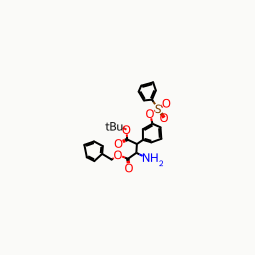 CC(C)(C)OC(=O)C(c1cccc(OS(=O)(=O)c2ccccc2)c1)C(N)C(=O)OCc1ccccc1